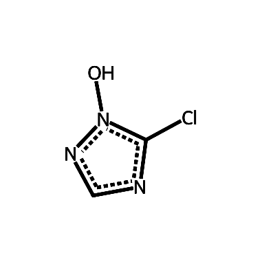 On1ncnc1Cl